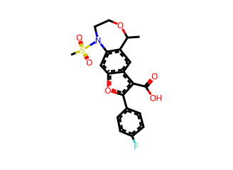 CC1OCCN(S(C)(=O)=O)c2cc3oc(-c4ccc(F)cc4)c(C(=O)O)c3cc21